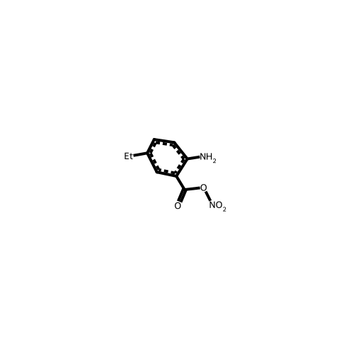 CCc1ccc(N)c(C(=O)O[N+](=O)[O-])c1